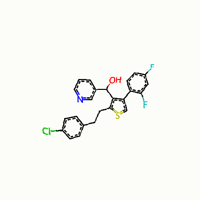 OC(c1cccnc1)c1c(-c2ccc(F)cc2F)csc1CCc1ccc(Cl)cc1